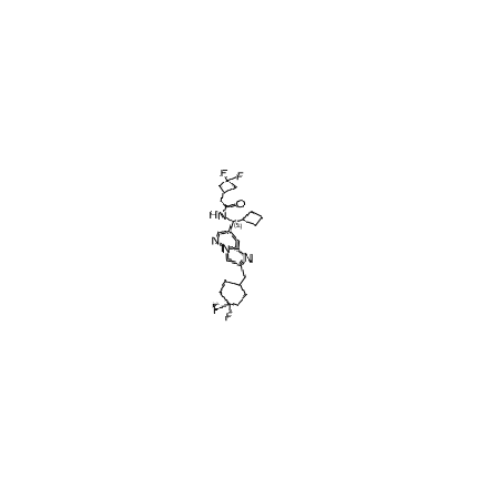 O=C(CC1CC(F)(F)C1)N[C@H](c1cnn2cc(CC3CCC(F)(F)CC3)nc2c1)C1CCC1